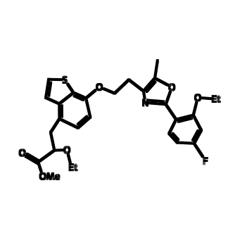 CCOc1cc(F)ccc1-c1nc(CCOc2ccc(CC(OCC)C(=O)OC)c3ccsc23)c(C)o1